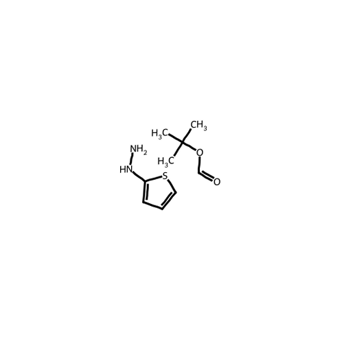 CC(C)(C)OC=O.NNc1cccs1